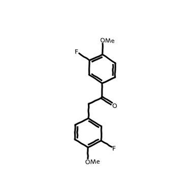 COc1ccc(CC(=O)c2ccc(OC)c(F)c2)cc1F